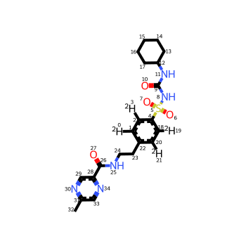 [2H]c1c([2H])c(S(=O)(=O)NC(=O)NC2CCCCC2)c([2H])c([2H])c1CCNC(=O)c1cnc(C)cn1